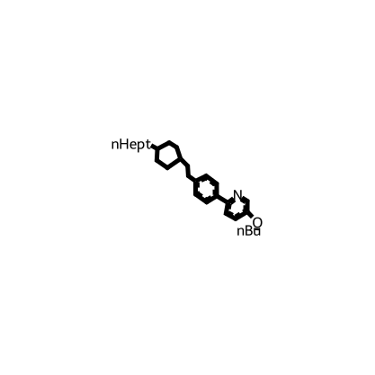 CCCCCCCC1CCC(CCc2ccc(-c3ccc(OCCCC)cn3)cc2)CC1